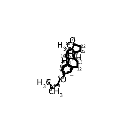 CN(C)CCOc1ccc2c(c1)CC[C@@H]1[C@@H]2CC[C@]2(C)C(=O)CC[C@@H]12